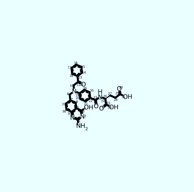 Nc1nc(O)c2cc(CN(CC(=O)c3ccccc3)c3ccc(C(=O)N[C@@H](CCC(=O)O)C(=O)O)cc3)ccc2n1